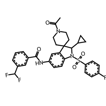 CC(=O)N1CCC2(CC1)c1cc(NC(=O)c3cccc(C(F)F)c3)ccc1N(S(=O)(=O)c1ccc(F)cc1)C2C1CC1